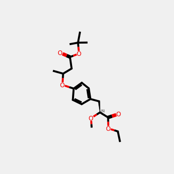 CCOC(=O)[C@H](Cc1ccc(OC(C)CC(=O)OC(C)(C)C)cc1)OC